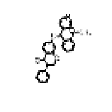 NC(=O)c1ccccc1[C@H](Oc1ccc2c(c1)OCC(c1ccccc1)C2=O)c1ccncc1